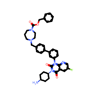 N[C@H]1CC[C@@H](n2c(=O)c3cc(F)cnc3n(-c3cccc(-c4ccc(CN5CCCN(C(=O)OCc6ccccc6)CC5)cc4)c3)c2=O)CC1